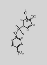 CC(C)(Oc1ccc([N+](=O)[O-])cc1)c1ccc(Cl)c(Cl)c1